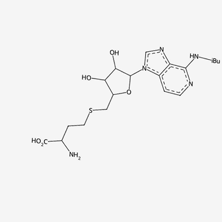 CCC(C)Nc1nccc2c1ncn2C1OC(CSCCC(N)C(=O)O)C(O)C1O